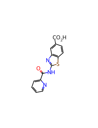 O=C(O)c1ccc2sc(NC(=O)c3ccccn3)nc2c1